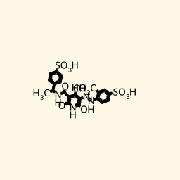 Cc1c(/N=N/c2ccc(S(=O)(=O)O)cc2C(=O)O)c(O)[nH]c(=O)c1C(=O)NC(C)c1ccc(S(=O)(=O)O)cc1